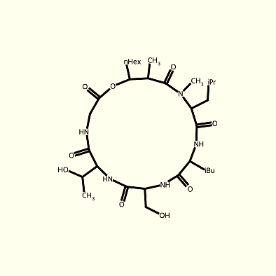 CCCCCCC1OC(=O)CNC(=O)C(C(C)O)NC(=O)C(CO)NC(=O)C(C(C)CC)NC(=O)C(CC(C)C)N(C)C(=O)C1C